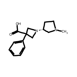 CN1CC[C@@H](N2CC(C(=O)O)(c3ccccc3)C2)C1